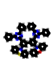 c1ccc(-c2nc(-c3ccccc3)nc(-c3cc(-c4cc(-c5nc(-c6ccccc6)nc(-c6ccccc6)n5)cc(N5c6ccccc6Sc6ccccc65)c4)cc(N4c5ccccc5Oc5ccccc54)c3)n2)cc1